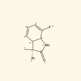 CC(C)[C@@]1(C)C(=O)NC2C(F)=CC=CC21